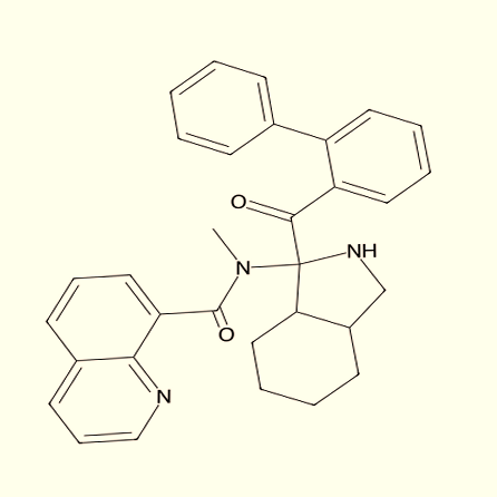 CN(C(=O)c1cccc2cccnc12)C1(C(=O)c2ccccc2-c2ccccc2)NCC2CCCCC21